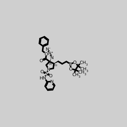 CC1(C)OB(CCC[C@H]2CN(S(=O)(=O)Nc3ccccn3)C[C@@]2(N=[N+]=[N-])C(=O)OCc2ccccc2)OC1(C)C